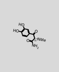 CN[C@H](C(N)=O)C(=O)c1ccc(O)c(O)c1